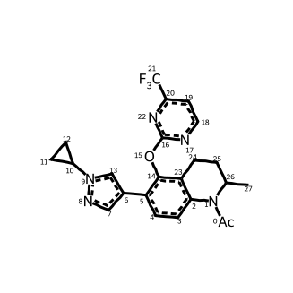 CC(=O)N1c2ccc(-c3cnn(C4CC4)c3)c(Oc3nccc(C(F)(F)F)n3)c2CCC1C